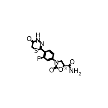 NC(=O)[C@@H]1CN(c2ccc(C3=NNC(=O)CS3)c(F)c2)C(=O)O1